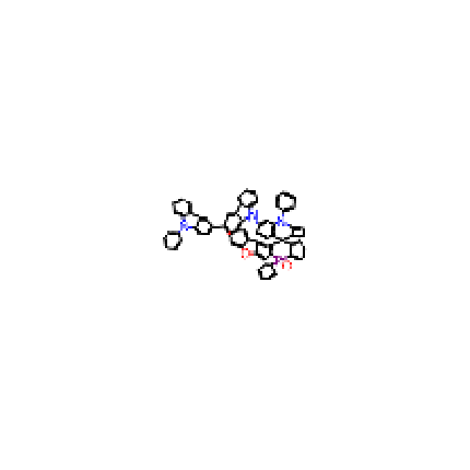 O=P1(c2ccccc2)c2ccccc2C2(c3ccccc3N(c3ccccc3)c3cc(-n4c5ccccc5c5cc(-c6ccc7c(c6)c6ccccc6n7-c6ccccc6)ccc54)ccc32)c2cc3c(cc21)oc1ccccc13